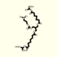 CCCCCCCCCC(CC)OC(=O)CCCCCC(=O)OCC(COC(=O)CCCCCCC(=O)OC(CCCCCC)CCCCCCCC)COC(=O)OCCCN(CC)CC